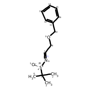 CC(C)(C)[S@+]([O-])/N=C/COCc1ccccc1